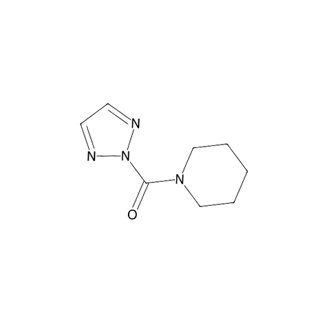 O=C(N1CCCCC1)n1nccn1